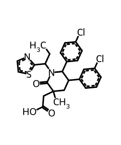 CCC(c1nccs1)N1C(=O)C(C)(CC(=O)O)CC(c2cccc(Cl)c2)C1c1ccc(Cl)cc1